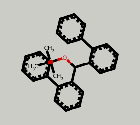 C[Si](C)(C)O[C](c1ccccc1-c1ccccc1)c1ccccc1-c1ccccc1